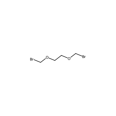 BrCOCCOCBr